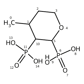 CC1CCOC(P(=O)(O)O)C1P(=O)(O)O